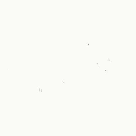 c1ccc(-c2nc(-c3ccccc3)nc(-c3cccc(-n4c5cccc6c5c5c7c(ccc(-c8ccc(-n9c%10cc%11c(cc%10c%10c%12ccccc%12ccc%109)c9ccccc9n%11-c9cccc(-c%10cccc%11oc%12ccccc%12c%10%11)c9)cc8)c7ccc54)-c4ccccc4-6)c3)n2)cc1